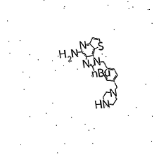 CCCCc1nc2c(N)nc3ccsc3c2n1Cc1ccc(CN2CCNCC2)cc1